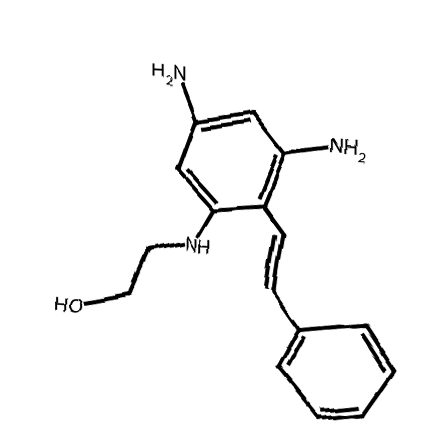 Nc1cc(N)c(C=Cc2ccccc2)c(NCCO)c1